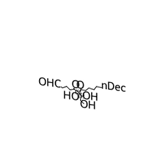 CCCCCCCCCCCCCCCC(=O)[C@](O)(C(=O)CCCC=O)[C@@H](O)CO